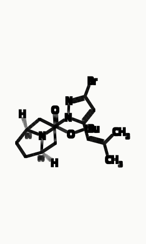 CC(C)=Cc1cc(Br)nn1C1C[C@H]2CC[C@@H](C1)N2C(=O)OC(C)(C)C